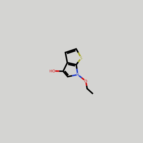 CCOn1cc(O)c2ccsc21